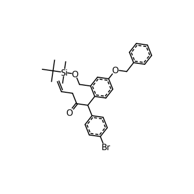 C=CCC(=O)C(c1ccc(Br)cc1)c1ccc(OCc2ccccc2)cc1CO[Si](C)(C)C(C)(C)C